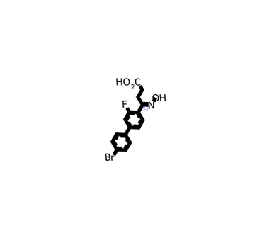 O=C(O)CC/C(=N\O)c1ccc(-c2ccc(Br)cc2)cc1F